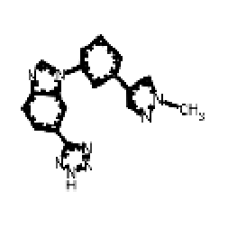 Cn1cc(-c2cccc(-n3cnc4ccc(-c5nn[nH]n5)cc43)c2)cn1